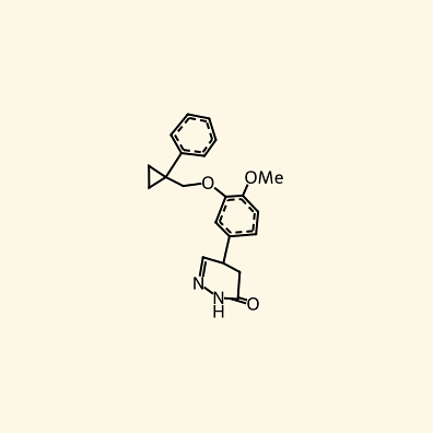 COc1ccc(C2C=NNC(=O)C2)cc1OCC1(c2ccccc2)CC1